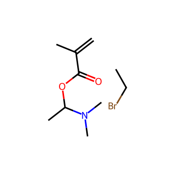 C=C(C)C(=O)OC(C)N(C)C.CCBr